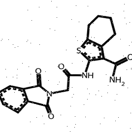 NC(=O)c1c(NC(=O)CN2C(=O)c3ccccc3C2=O)sc2c1CCCC2